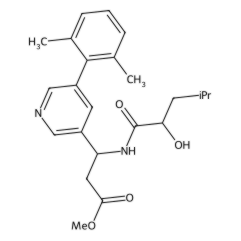 COC(=O)CC(NC(=O)C(O)CC(C)C)c1cncc(-c2c(C)cccc2C)c1